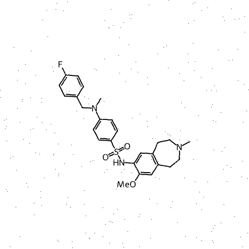 COc1cc2c(cc1NS(=O)(=O)c1ccc(N(C)Cc3ccc(F)cc3)cc1)CCN(C)CC2